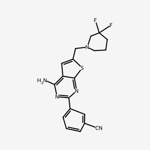 N#Cc1cccc(-c2nc(N)c3cc(CN4CCCC(F)(F)C4)sc3n2)c1